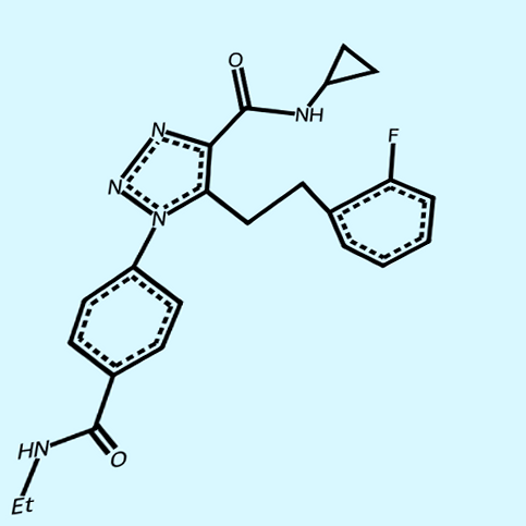 CCNC(=O)c1ccc(-n2nnc(C(=O)NC3CC3)c2CCc2ccccc2F)cc1